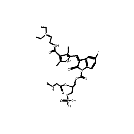 CCN(CC)CCNC(=O)c1c(C)[nH]c(/C=C2\C(=O)N(C(=O)OCC(COP(=O)(O)O)OC(=O)CNCl)c3ccc(F)cc32)c1C